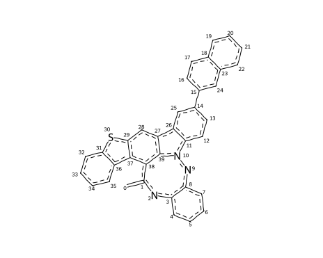 C=c1nc2ccccc2nn2c3ccc(-c4ccc5ccccc5c4)cc3c3cc4sc5ccccc5c4c1c32